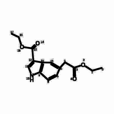 CCOC(=O)Cc1ccc2[nH]cc(C(=O)OCC)c2c1